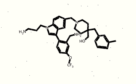 Cc1cccc(CC2(CO)CCN(Cc3ccc4c(c3)c(-c3ccc(OC(F)(F)F)cc3CN)cn4CCCN)CC2)c1